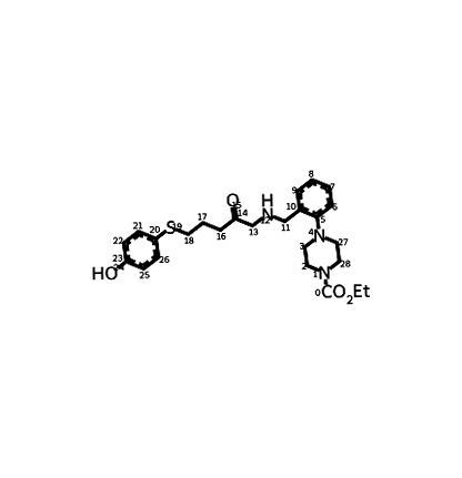 CCOC(=O)N1CCN(c2ccccc2CNCC(=O)CCCSc2ccc(O)cc2)CC1